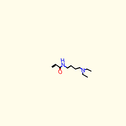 C=CC(=O)NCCCCN(CC)CC